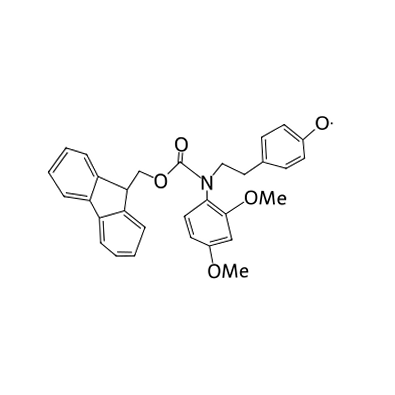 COc1ccc(N(CCc2ccc([O])cc2)C(=O)OCC2c3ccccc3-c3ccccc32)c(OC)c1